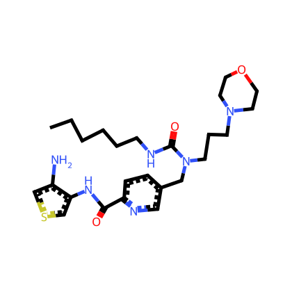 CCCCCCNC(=O)N(CCCN1CCOCC1)Cc1ccc(C(=O)Nc2cscc2N)nc1